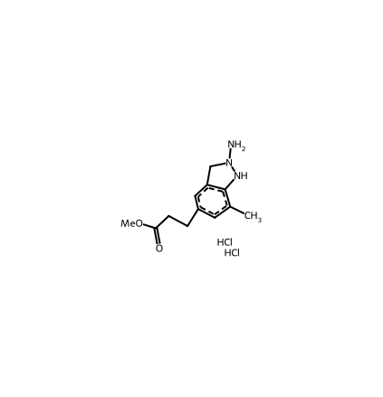 COC(=O)CCc1cc(C)c2c(c1)CN(N)N2.Cl.Cl